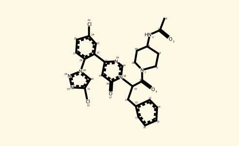 CC(=O)NC1CCN(C(=O)C(Cc2ccccc2)n2cnc(-c3cc(Cl)ccc3-n3cc(Cl)nn3)cc2=O)CC1